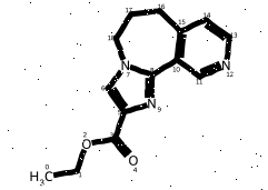 CCOC(=O)c1cn2c(n1)-c1cnccc1CCC2